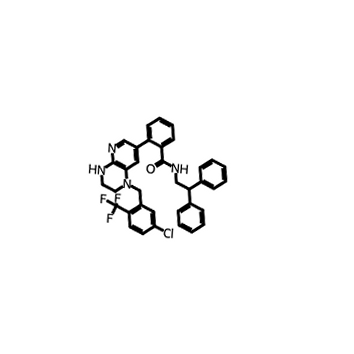 O=C(NCC(c1ccccc1)c1ccccc1)c1ccccc1-c1cnc2c(c1)N(Cc1cc(Cl)ccc1C(F)(F)F)CCN2